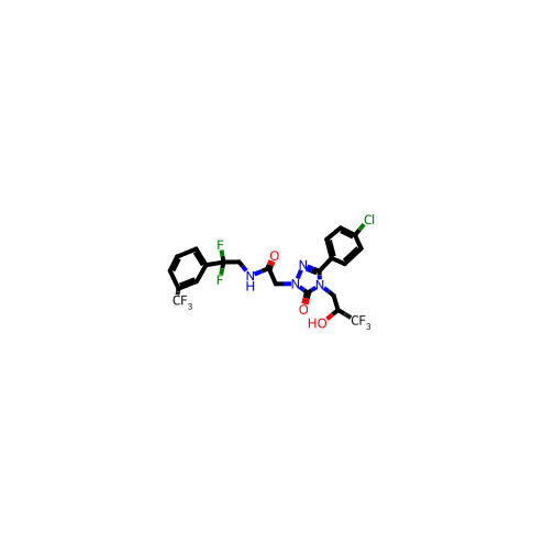 O=C(Cn1nc(-c2ccc(Cl)cc2)n(CC(O)C(F)(F)F)c1=O)NCC(F)(F)c1cccc(C(F)(F)F)c1